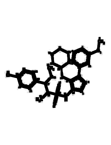 COc1cccc(-c2nnc(NS(=O)(=O)C(C)C(OC)c3ncc(Cl)cn3)n2C[C@@H]2COCCO2)n1